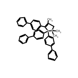 CC1=C(c2ccc(-c3ccccc3)cc2)[B-](c2ccc(-c3ccccc3)cc2)(c2ccc(-c3ccccc3)cc2)[N+](C)(C)C1